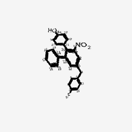 O=[N+]([O-])c1cc(Cc2ccc(F)cc2)cc(-c2ccccc2)c1-c1ccc(O)cc1